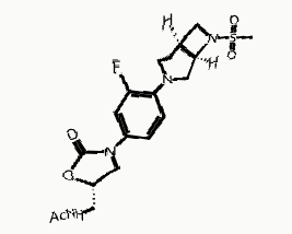 CC(=O)NC[C@H]1CN(c2ccc(N3C[C@H]4CN(S(C)(=O)=O)[C@H]4C3)c(F)c2)C(=O)O1